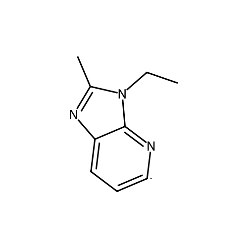 CCn1c(C)nc2cc[c]nc21